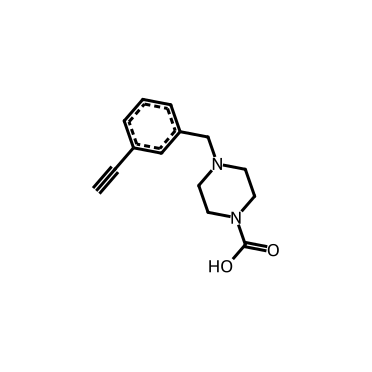 C#Cc1cccc(CN2CCN(C(=O)O)CC2)c1